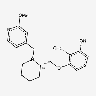 COc1cc(CN2CCCC[C@H]2COc2cccc(O)c2C=O)ccn1